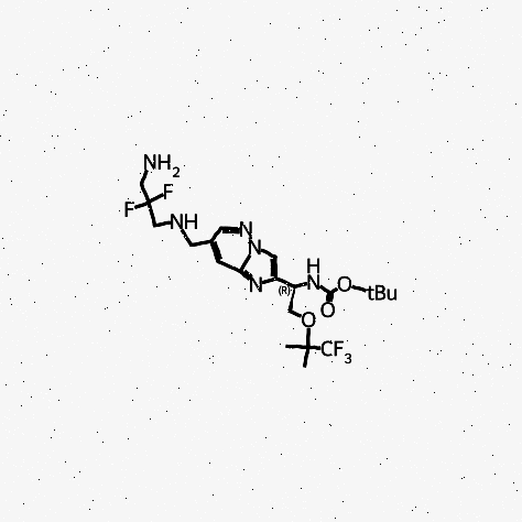 CC(C)(C)OC(=O)N[C@@H](COC(C)(C)C(F)(F)F)c1cn2ncc(CNCC(F)(F)CN)cc2n1